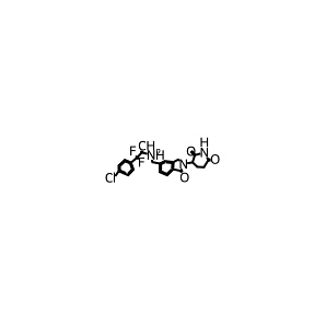 C=C(NCc1ccc2c(c1)CN(C1CCC(=O)NC1=O)C2=O)C(F)(F)c1ccc(Cl)cc1